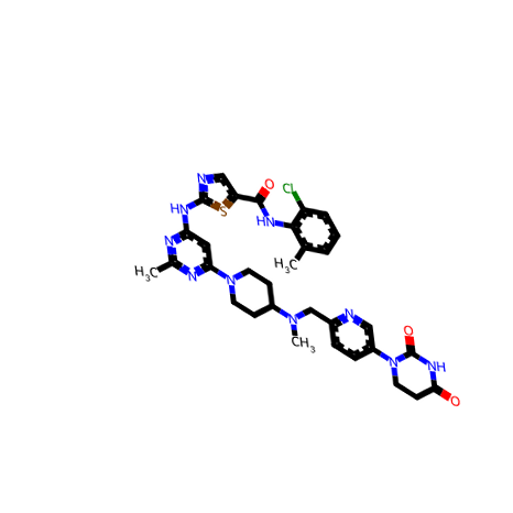 Cc1nc(Nc2ncc(C(=O)Nc3c(C)cccc3Cl)s2)cc(N2CCC(N(C)Cc3ccc(N4CCC(=O)NC4=O)cn3)CC2)n1